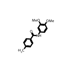 [CH2]c1ccc(C(=O)Nc2ccc(OC)c(OC)c2)cc1